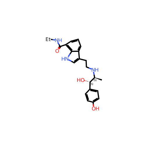 CCNC(=O)c1cccc2c(CCN[C@@H](C)[C@@H](O)c3ccc(O)cc3)c[nH]c12